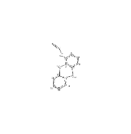 C=CCc1cccc2c1Sc1ccccc1S2